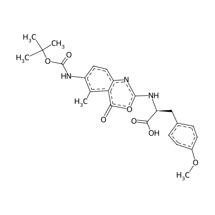 COc1ccc(C[C@H](Nc2nc3ccc(NC(=O)OC(C)(C)C)c(C)c3c(=O)o2)C(=O)O)cc1